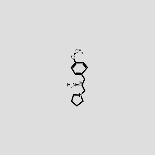 N[C@@H](Cc1ccc(OC(F)(F)F)cc1)CN1CCCC1